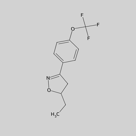 CCC1CC(c2ccc(OC(F)(F)F)cc2)=NO1